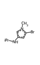 CC(C)Nc1cc(Br)n(C)c1